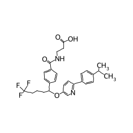 CC(C)c1ccc(-c2ccc(OC(CCCC(F)(F)F)c3ccc(C(=O)NCCC(=O)O)cc3)cn2)cc1